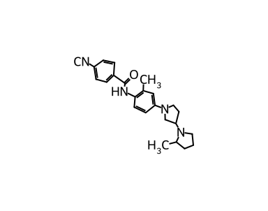 [C-]#[N+]c1ccc(C(=O)Nc2ccc(N3CCC(N4CCCC4C)C3)cc2C)cc1